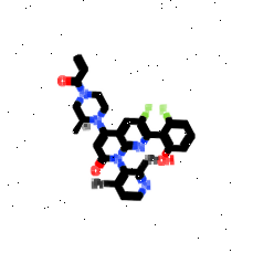 C=CC(=O)N1CCN(c2cc(=O)n(-c3c(C(C)C)ccnc3C(C)C)c3nc(-c4c(O)cccc4F)c(F)cc23)[C@@H](C)C1